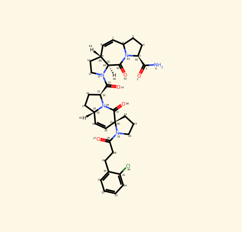 NC(=O)[C@@H]1CCC2C=C[C@H]3CCN(C(=O)[C@@H]4CC[C@H]5C=C[C@]6(CCCN6C(=O)CCc6ccccc6Cl)C(=O)N54)[C@@H]3C(=O)N21